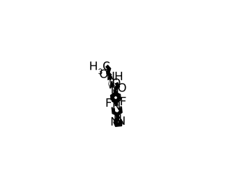 CCC(=O)NC[C@H]1CN(c2cc(F)c(N3CCC(n4nccn4)CC3)c(F)c2)C(=O)O1